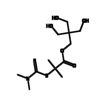 CN(C)C(=S)SC(C)(C)C(=O)OCC(CO)(CO)CO